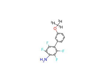 [2H]C([2H])([2H])Oc1cccc(-c2c(F)c(F)c(N)c(F)c2F)c1